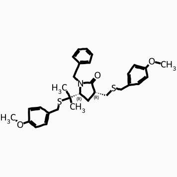 COc1ccc(CSC[C@@H]2C[C@H](C(C)(C)SCc3ccc(OC)cc3)N(Cc3ccccc3)C2=O)cc1